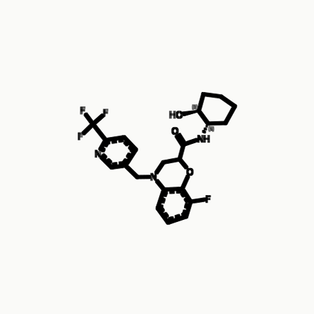 O=C(N[C@H]1CCCC[C@@H]1O)C1CN(Cc2ccc(C(F)(F)F)nc2)c2cccc(F)c2O1